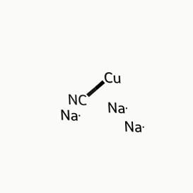 N#[C][Cu].[Na].[Na].[Na]